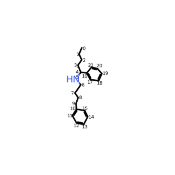 CCC[CH]C(NCCCCc1ccccc1)c1ccccc1